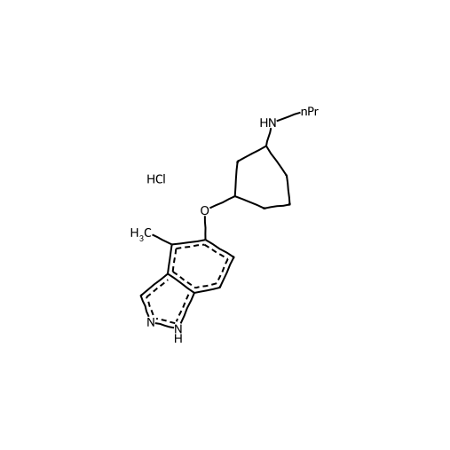 CCCNC1CCCC(Oc2ccc3[nH]ncc3c2C)C1.Cl